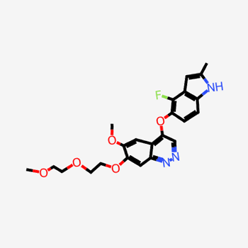 COCCOCCOc1cc2nncc(Oc3ccc4[nH]c(C)cc4c3F)c2cc1OC